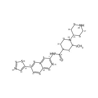 CC1CC(C(=O)Nc2cc3cc(-c4cncs4)ccc3cn2)CCN1C1CCNCC1